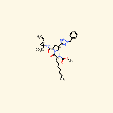 C=CCCCCC[C@H](NC(=O)OC(C)(C)C)C(=O)N1C[C@H](c2nnn(Cc3ccccc3)n2)C[C@H]1C(=O)NC1(C(=O)OCC)C[C@H]1C=C